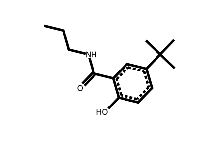 CCCNC(=O)c1cc(C(C)(C)C)ccc1O